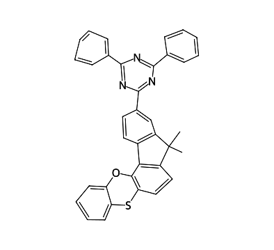 CC1(C)c2cc(-c3nc(-c4ccccc4)nc(-c4ccccc4)n3)ccc2-c2c1ccc1c2Oc2ccccc2S1